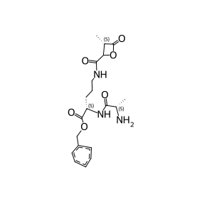 C[C@H](N)C(=O)N[C@@H](CCCNC(=O)C1OC(=O)[C@H]1C)C(=O)OCc1ccccc1